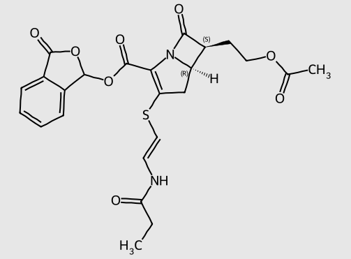 CCC(=O)NC=CSC1=C(C(=O)OC2OC(=O)c3ccccc32)N2C(=O)[C@@H](CCOC(C)=O)[C@H]2C1